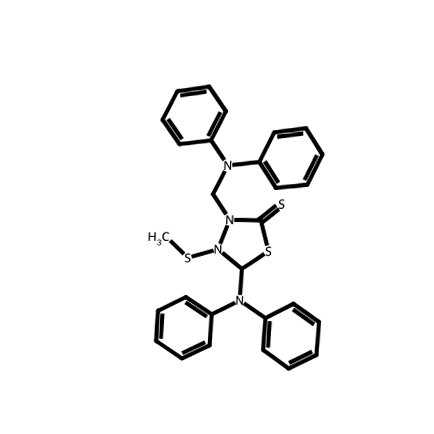 CSN1C(N(c2ccccc2)c2ccccc2)SC(=S)N1CN(c1ccccc1)c1ccccc1